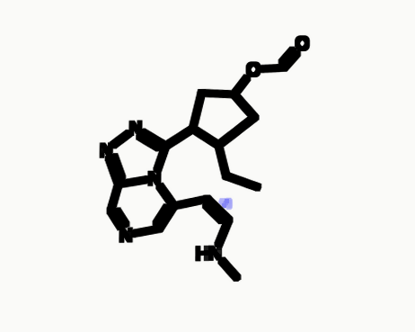 CCC1CC(OC=O)CC1c1nnc2cncc(/C=C\NC)n12